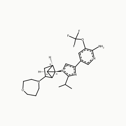 CC(C)c1nc(-c2cnc(N)c(OC(F)(F)F)c2)cn1[C@]12C3C(N4CCCOCC4)C[C@@H]1[C@H]32